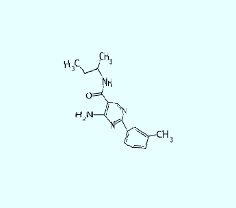 CCC(C)NC(=O)c1cnc(-c2cccc(C)c2)nc1N